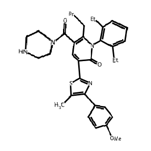 CCc1cccc(CC)c1-n1c(CC(C)C)c(C(=O)N2CCNCC2)cc(-c2nc(-c3ccc(OC)cc3)c(C)s2)c1=O